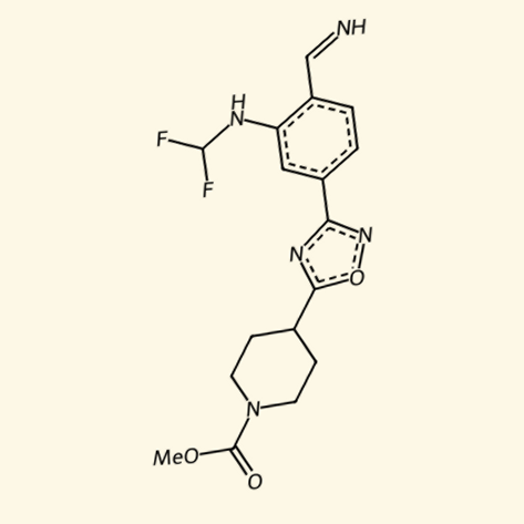 COC(=O)N1CCC(c2nc(-c3ccc(C=N)c(NC(F)F)c3)no2)CC1